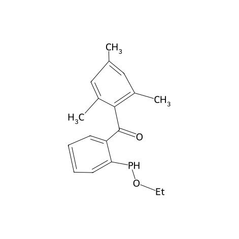 CCOPc1ccccc1C(=O)c1c(C)cc(C)cc1C